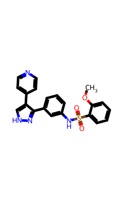 COc1ccccc1S(=O)(=O)Nc1cccc(-c2n[nH]cc2-c2ccncc2)c1